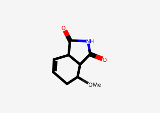 COC1CC=CC2C(=O)NC(=O)C12